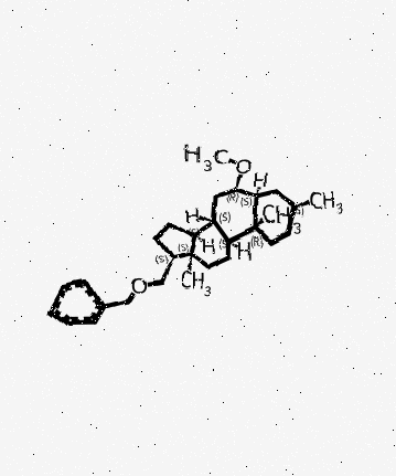 CO[C@@H]1C[C@@H]2[C@H](CC[C@]3(C)[C@@H](COCc4ccccc4)CC[C@@H]23)[C@@]2(C)CC[C@H](C)C[C@H]12